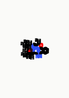 [2H]c1c(-c2nnc3c4ccccc4c(OC([2H])c4cn(C([2H])([2H])C([2H])([2H])[2H])nn4)nn23)noc1C([2H])([2H])[2H]